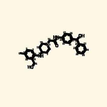 Cc1ccc(NC2CCN(CC(=O)Nc3ccc(C(O)c4ccccc4)cc3)CC2)c(CO)c1